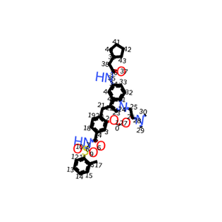 COc1cc(C(=O)NS(=O)(=O)c2ccccc2C)ccc1Cc1cn(CC(=O)N(C)C)c2ccc(NC(=O)CC3CCCC3)cc12